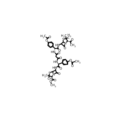 COC(=O)[C@@H]1N2C(=O)C(NC(=O)[C@@H](NC(=O)CC(=O)N[C@@H](C(=O)NC3C(=O)N4C3SC(C)(C)[C@H]4C(C)=O)c3ccc(OC(C)=O)cc3)c3ccc(OC(C)=O)cc3)C2SC1(C)C